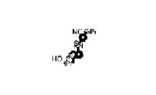 CC(C)CC1c2cccc(-c3noc(-c4ccc(OC(C)C)c(C#N)c4)n3)c2CCN1C(=O)O